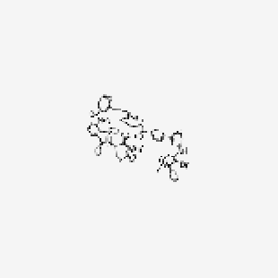 CN1C[C@H](Nc2cnn(C)c(=O)c2Br)C[C@H](c2ccc(C(=O)N3CCN(Cc4cccc(C(=O)Nc5cccc6c5C(=O)N(C5CCC(=O)NC5=O)C6=O)c4)CC3)cc2)C1